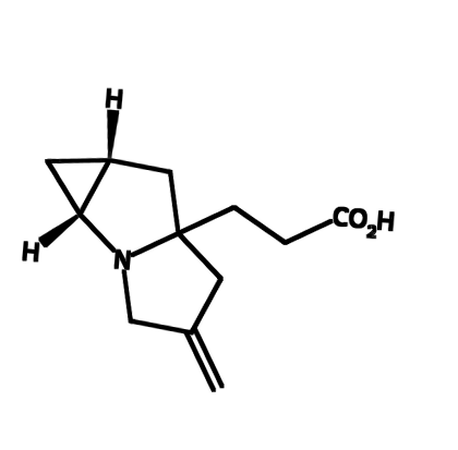 C=C1CN2[C@@H]3C[C@@H]3CC2(CCC(=O)O)C1